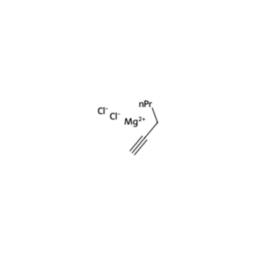 C#CCCCC.[Cl-].[Cl-].[Mg+2]